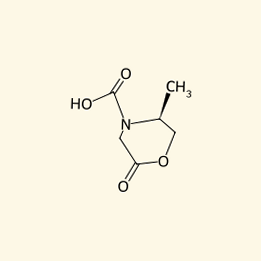 C[C@H]1COC(=O)CN1C(=O)O